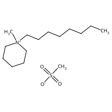 CCCCCCCC[N+]1(C)CCCCC1.CS(=O)(=O)[O-]